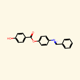 O=C(Oc1ccc(/N=C/c2ccccc2)cc1)c1ccc(O)cc1